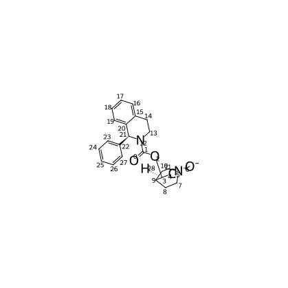 O=C(O[C@H]1C[N+]2([O-])CCC1CC2)N1CCc2ccccc2[C@@H]1c1ccccc1